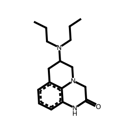 CCCN(CCC)C1Cc2cccc3c2N(CC(=O)N3)C1